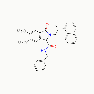 COc1cc2c(cc1OC)C(C(=O)NCc1ccccc1)N(CC(C)c1cccc3ccccc13)C2=O